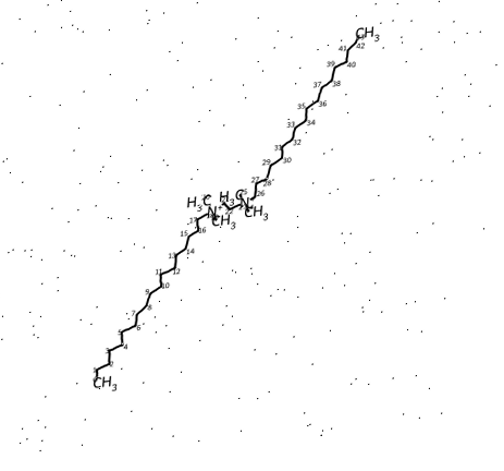 CCCCCCCCCCCCCCCCCC[N+](C)(C)CC[N+](C)(C)CCCCCCCCCCCCCCCCCC